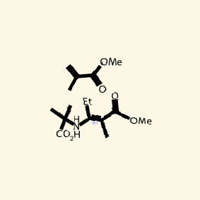 C=C(C)C(=O)OC.CC/C(NC(C)(C)C(=O)O)=C(/C)C(=O)OC